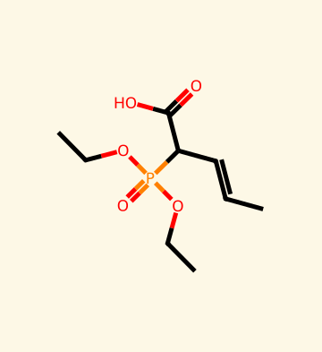 CC=CC(C(=O)O)P(=O)(OCC)OCC